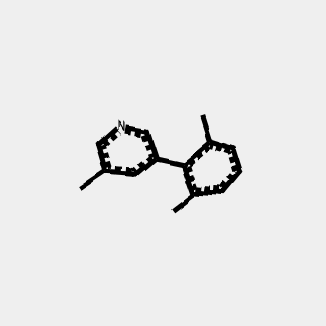 Cc1cncc(-c2c(C)cccc2C)c1